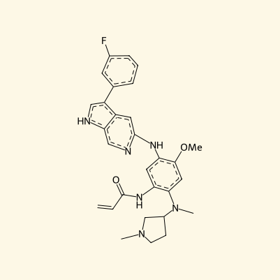 C=CC(=O)Nc1cc(Nc2cc3c(-c4cccc(F)c4)c[nH]c3cn2)c(OC)cc1N(C)C1CCN(C)C1